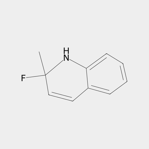 CC1(F)C=Cc2ccccc2N1